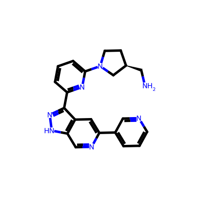 NC[C@@H]1CCN(c2cccc(-c3n[nH]c4cnc(-c5cccnc5)cc34)n2)C1